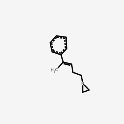 CC(=CCCN1CC1)c1ccccc1